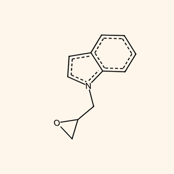 c1ccc2c(c1)ccn2CC1CO1